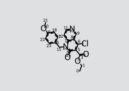 CCOC(=O)c1c(Cl)c2cnccc2n(Cc2ccc(OC)cc2)c1=O